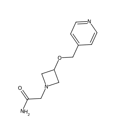 NC(=O)CN1CC(OCc2ccncc2)C1